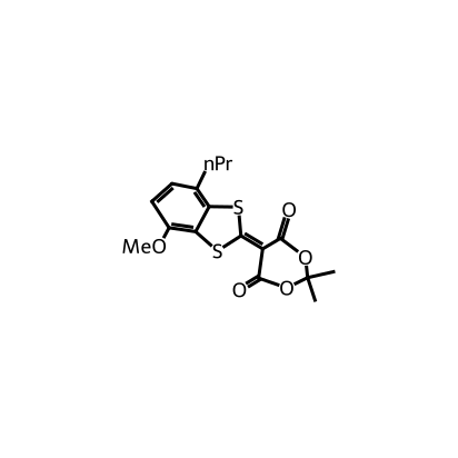 CCCc1ccc(OC)c2c1SC(=C1C(=O)OC(C)(C)OC1=O)S2